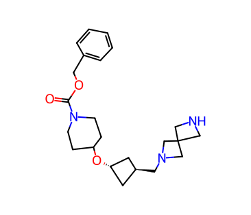 O=C(OCc1ccccc1)N1CCC(O[C@H]2C[C@H](CN3CC4(CNC4)C3)C2)CC1